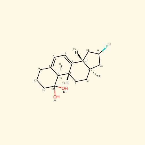 C[C@]12CC[C@H]3C(=CC=C4CCCC(O)(O)[C@@]43C)[C@@H]1C[C@@H](F)C2